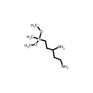 C[O][Ti]([CH3])([CH2]CC(N)CCN)[O]C